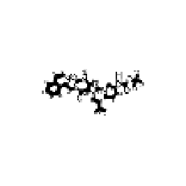 CC(C)=CCn1c(N2CCC[C@H](NC(=O)OC(C)(C)C)C2)nc2c1c(=O)n(Cc1nccc3ccccc13)c(=O)n2C